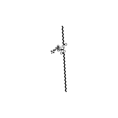 CCCCCCCCCCCCCCCCCCCCCCCC(=O)O[C@H](COC(=O)CCCCCCCCCCC)COP(=O)(O)OCC[N+](C)(C)C